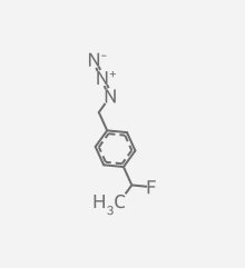 CC(F)c1ccc(CN=[N+]=[N-])cc1